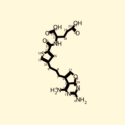 Nc1nc(N)c2c(CCCc3csc(C(=O)NC(CCC(=O)O)C(=O)O)c3)coc2n1